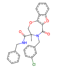 CC1(C(=O)NCc2ccccc2)COc2c(oc3ccccc23)C(=O)N1Cc1cccc(Cl)c1